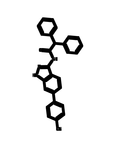 N#Cc1ccc(-c2ccc3c(NC(=O)C(c4ccccc4)c4ccccc4)n[nH]c3c2)cc1